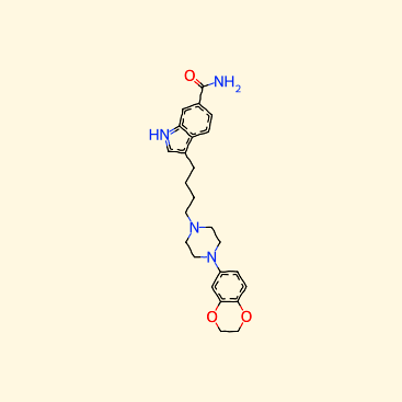 NC(=O)c1ccc2c(CCCCN3CCN(c4ccc5c(c4)OCCO5)CC3)c[nH]c2c1